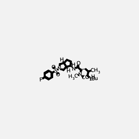 CC(C[C@@H](C(=O)N[C@@H]1CC[C@H]2CN(S(=O)(=O)c3ccc(F)cc3)C[C@H]21)N(C)C(=O)O)CC(C)(C)C